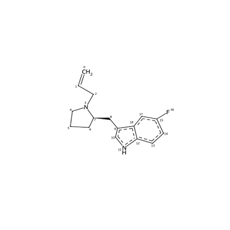 C=CCN1CCC[C@@H]1Cc1c[nH]c2ccc(F)cc12